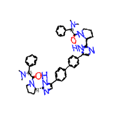 CN(C)[C@@H](C(=O)N1CCCC1c1ncc(-c2ccc(-c3ccc(-c4cnc([C@@H]5CCCN5C(=O)[C@@H](c5ccccc5)N(C)C)[nH]4)cc3)cc2)[nH]1)c1ccccc1